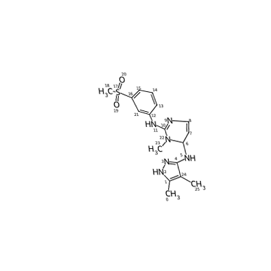 Cc1[nH]nc(NC2C=CN=C(Nc3cccc(S(C)(=O)=O)c3)N2C)c1C